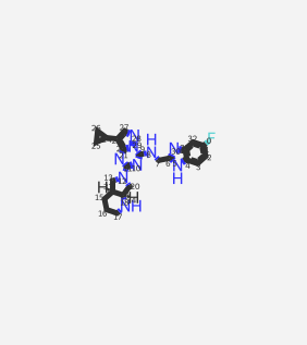 Fc1ccc2[nH]c(CNc3nc(N4C[C@@H]5CCCN[C@@H]5C4)nc4c(C5CC5)cnn34)nc2c1